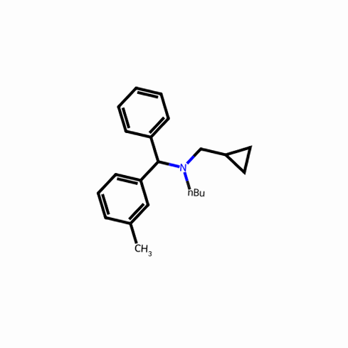 CCCCN(CC1CC1)C(c1ccccc1)c1cccc(C)c1